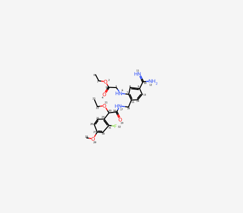 CCOC(=O)CNc1cc(C(=N)N)ccc1CNC(=O)C(OCC)c1ccc(OC)cc1F